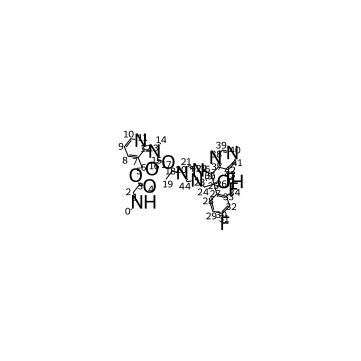 CNCC(=O)OCc1cccnc1N(C)C(=O)OC(C)[n+]1cnn(CC(O)(c2ccc(F)cc2F)[C@@H](C)c2ncncc2F)c1